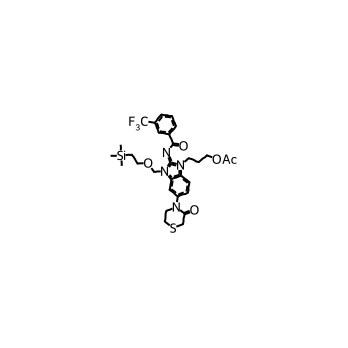 CC(=O)OCCCn1c(=NC(=O)c2cccc(C(F)(F)F)c2)n(COCC[Si](C)(C)C)c2cc(N3CCSCC3=O)ccc21